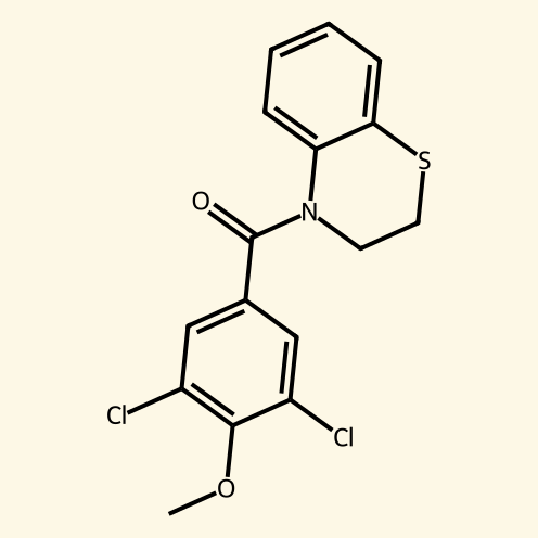 COc1c(Cl)cc(C(=O)N2CCSc3ccccc32)cc1Cl